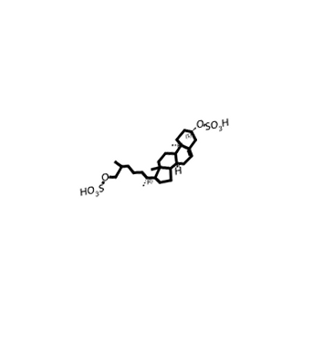 CC(CCC[C@@H](C)C1CCC2[C@@H]3CC=C4C[C@@H](OS(=O)(=O)O)CC[C@]4(C)C3CCC21C)COS(=O)(=O)O